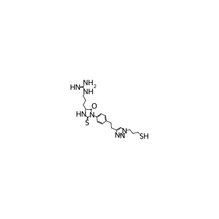 N=C(N)NCCCC1NC(=S)N(c2ccc(CCc3cn(CCCS)nn3)cc2)C1=O